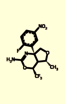 C[C@H]1OC[C@]2(c3cc([N+](=O)[O-])ccc3F)N=C(N)O[C@H](C(F)(F)F)C12